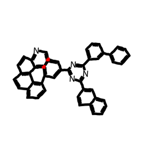 c1ccc(-c2cccc(-c3nc(-c4cccc(-c5cccc6ccc7ccc8ncccc8c7c56)c4)nc(-c4ccc5ccccc5c4)n3)c2)cc1